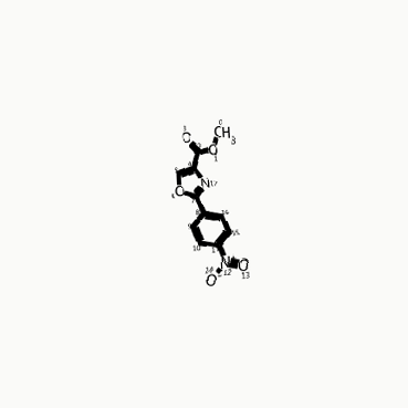 COC(=O)c1coc(-c2ccc([N+](=O)[O-])cc2)n1